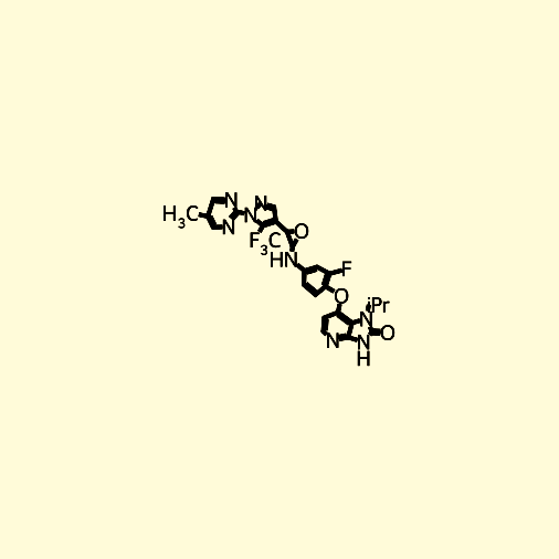 Cc1cnc(-n2ncc(C3OC3Nc3ccc(Oc4ccnc5[nH]c(=O)n(C(C)C)c45)c(F)c3)c2C(F)(F)F)nc1